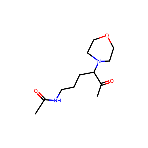 CC(=O)NCCCC(C(C)=O)N1CCOCC1